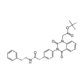 CC(C)(C)OC(=O)Cn1c(=O)n(-c2ccc(CC(=O)NCCc3ccccc3)cc2)c(=O)c2ccccc21